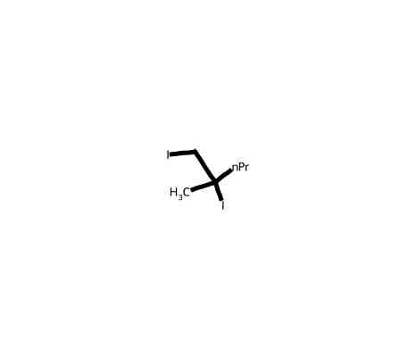 CCCC(C)(I)[CH]I